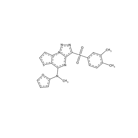 Cc1ccc(S(=O)(=O)c2nnn3c2nc(N(C)c2ccco2)c2sccc23)cc1C